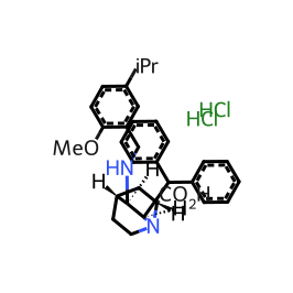 COc1ccc(C(C)C)cc1CN[C@@H]1[C@@H]2CCN([C@@H](C(=O)O)C2)[C@@H]1C(c1ccccc1)c1ccccc1.Cl.Cl